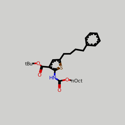 CCCCCCCCOC(=O)Nc1sc(CCCCc2ccccc2)cc1C(=O)OC(C)(C)C